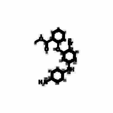 COC(=O)c1ccccc1Oc1nc(Nc2ccc(N)cc2)ncc1Br